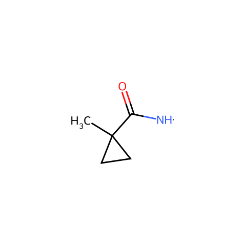 CC1(C([NH])=O)CC1